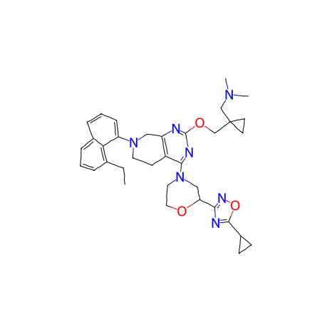 CCc1cccc2cccc(N3CCc4c(nc(OCC5(CN(C)C)CC5)nc4N4CCOC(c5noc(C6CC6)n5)C4)C3)c12